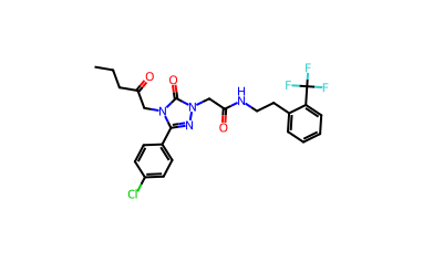 CCCC(=O)Cn1c(-c2ccc(Cl)cc2)nn(CC(=O)NCCc2ccccc2C(F)(F)F)c1=O